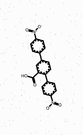 O=C(O)c1cc(-c2ccc([N+](=O)[O-])cc2)ccc1-c1ccc([N+](=O)[O-])cc1